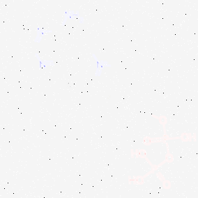 CC(=O)c1sc(CCOP(=O)(O)OP(=O)(O)O)c(C)[n+]1Cc1cnc(C)nc1N